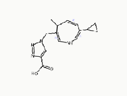 CC1/C=C\C(C2CC2)=C/N/C=C\1Cn1cc(C(=O)O)nn1